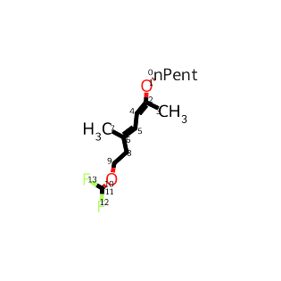 CCCCCO/C(C)=C/C=C(\C)CCOC(F)F